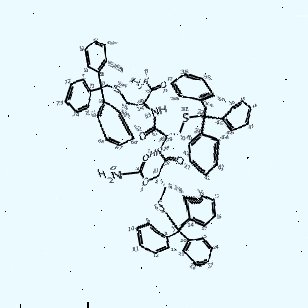 NC(=O)O[C@@H](CSC(c1ccccc1)(c1ccccc1)c1ccccc1)C(=O)N[C@@H](CSC(c1ccccc1)(c1ccccc1)c1ccccc1)C(=O)N[C@@H](CSC(c1ccccc1)(c1ccccc1)c1ccccc1)C(N)=O